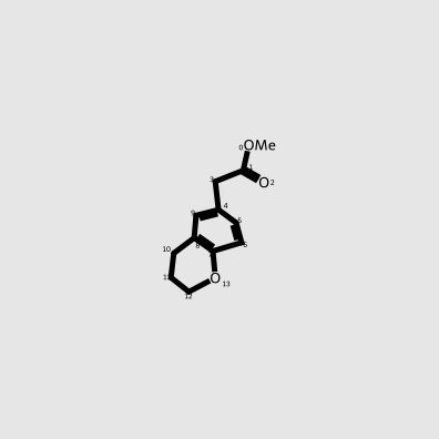 COC(=O)Cc1ccc2c(c1)CCCO2